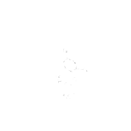 CCC(O)Oc1c(Br)cc(Br)cc1Br